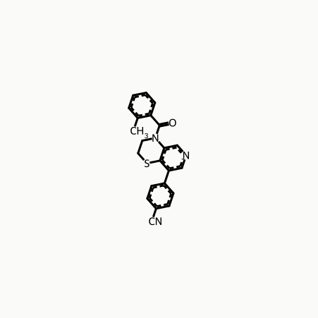 Cc1ccccc1C(=O)N1CCSc2c(-c3ccc(C#N)cc3)cncc21